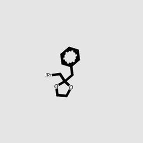 CC(C)CC1(Cc2ccccc2)OCCO1